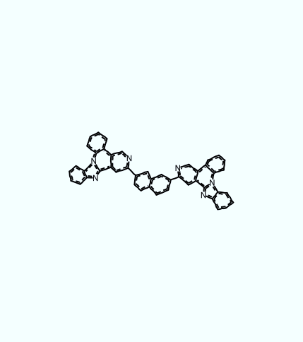 c1ccc2c(c1)nc1c3cc(-c4ccc5ccc(-c6cc7c(cn6)c6ccccc6n6c8ccccc8nc76)cc5c4)ncc3c3ccccc3n21